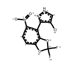 O=[N+]([O-])c1ccc2c(c1-c1n[nH]cc1Cl)OC(F)(F)O2